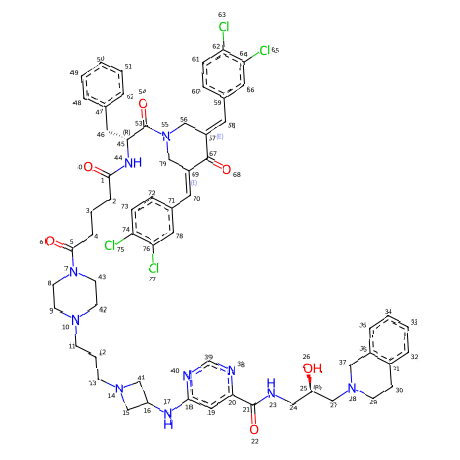 O=C(CCCC(=O)N1CCN(CCCN2CC(Nc3cc(C(=O)NC[C@@H](O)CN4CCc5ccccc5C4)ncn3)C2)CC1)N[C@H](Cc1ccccc1)C(=O)N1C/C(=C\c2ccc(Cl)c(Cl)c2)C(=O)/C(=C/c2ccc(Cl)c(Cl)c2)C1